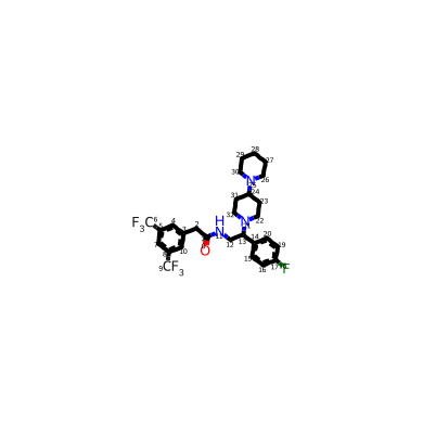 O=C(Cc1cc(C(F)(F)F)cc(C(F)(F)F)c1)NCC(c1ccc(F)cc1)N1CCC(N2CCCCC2)CC1